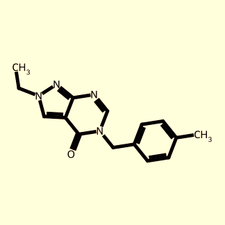 CCn1cc2c(=O)n(Cc3ccc(C)cc3)cnc2n1